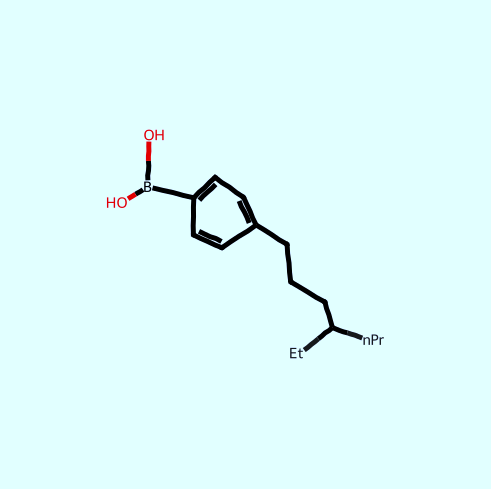 CCCC(CC)CCCc1ccc(B(O)O)cc1